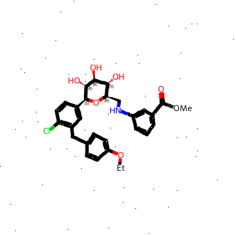 CCOc1ccc(Cc2cc([C@@H]3O[C@H](CNc4cccc(C(=O)OC)c4)[C@@H](O)[C@H](O)[C@H]3O)ccc2Cl)cc1